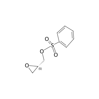 O=S(=O)(OC[C@@H]1CO1)c1ccccc1